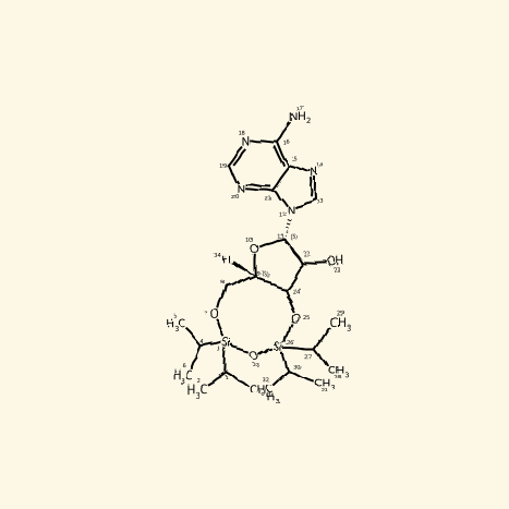 CC(C)[Si]1(C(C)C)OC[C@@H]2O[C@H](n3cnc4c(N)ncnc43)C(O)C2O[Si](C(C)C)(C(C)C)O1